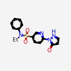 CCN(c1ccccc1)S(=O)(=O)c1ccc(-n2[nH]c[c]c2=O)nc1